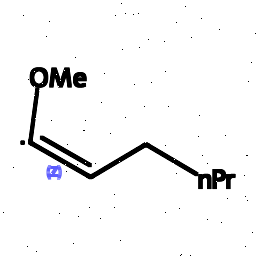 CCCC/C=[C]\OC